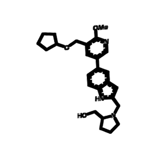 COc1ncc(-c2ccc3[nH]c(CN4CCCC4CO)cc3c2)cc1COC1CCCC1